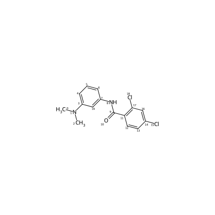 CN(C)c1cccc(NC(=O)c2ccc(Cl)cc2Cl)c1